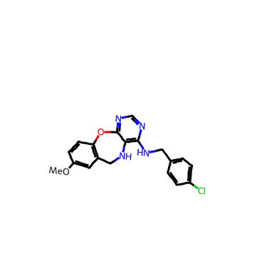 COc1ccc2c(c1)CNc1c(NCc3ccc(Cl)cc3)ncnc1O2